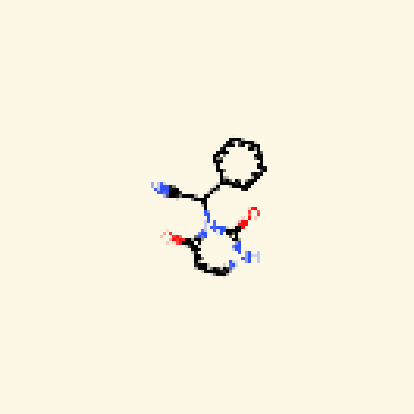 N#CC(c1ccccc1)n1c(=O)cc[nH]c1=O